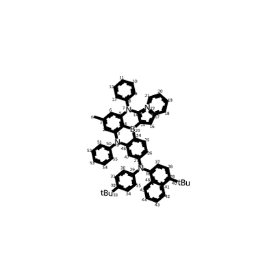 Cc1cc2c3c(c1)N(c1ccccc1)c1c(cc4ccccn14)B3c1ccc(N(c3ccc(C(C)(C)C)cc3)c3ccc(C(C)(C)C)c4ccccc34)cc1N2c1ccccc1